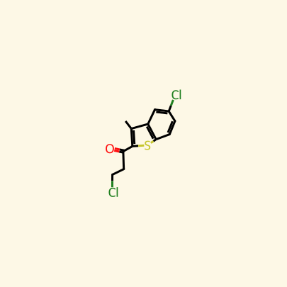 Cc1c(C(=O)CCCl)sc2ccc(Cl)cc12